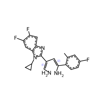 Cc1cc(F)ccc1/C(N)=C/C(=C\N)c1nc2cc(F)c(F)cc2n1C1CC1